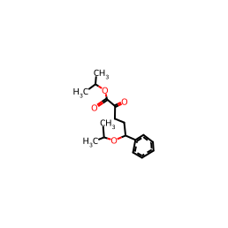 CC(C)OC(=O)C(=O)CCC(OC(C)C)c1ccccc1